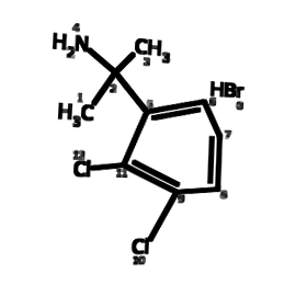 Br.CC(C)(N)c1cccc(Cl)c1Cl